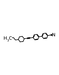 CCCC1CCC(C#Cc2ccc(-c3ccc(C#N)cc3)cc2)CC1